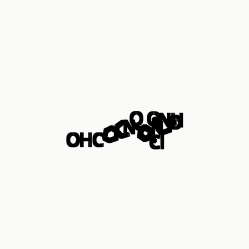 O=CC1CCC2(CC1)CCN(C(=O)c1ccc(Cl)c(N3CCC(=O)NC3=O)c1)CC2